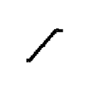 [CH2]CCCCCCCCCCCCCCCCCCCCCCCSCCCCCCCCCCCCCCCC(C)C